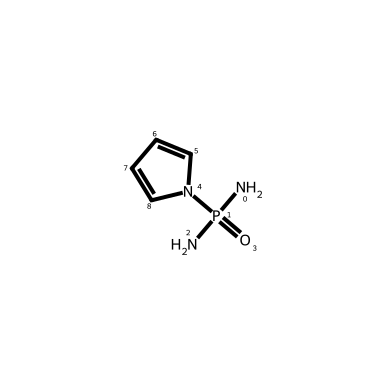 NP(N)(=O)n1cccc1